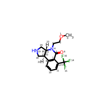 COCCN1C(=O)c2c(cccc2C(F)(F)F)[C@H]2CNC[C@@H]21